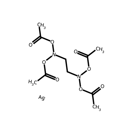 CC(=O)ON(CCN(OC(C)=O)OC(C)=O)OC(C)=O.[Ag]